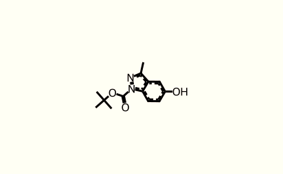 Cc1nn(C(=O)OC(C)(C)C)c2ccc(O)cc12